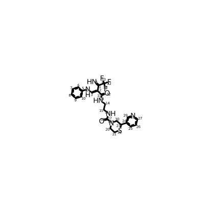 N=C(/C(=C\Nc1ccccc1)C(=O)NCCNC(=O)N1CCSC(c2cccnc2)C1)C(F)(F)F